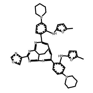 Cc1ccc(Nc2cc(N3CCCCC3)ccc2C2=CC3=CC(c4ccc(N5CCCCC5)cc4Nc4ccc(C)o4)=NC4=NC(c5cocn5)=NC(=N2)C4C3)o1